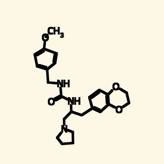 COc1ccc(CNC(=O)NC(Cc2ccc3c(c2)OCCO3)CN2CCCC2)cc1